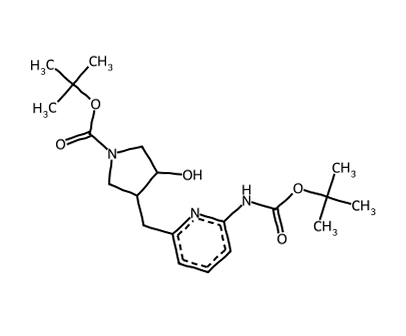 CC(C)(C)OC(=O)Nc1cccc(CC2CN(C(=O)OC(C)(C)C)CC2O)n1